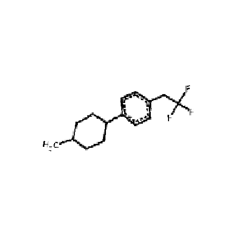 CC1CCC(c2ccc(CC(F)(F)F)cc2)CC1